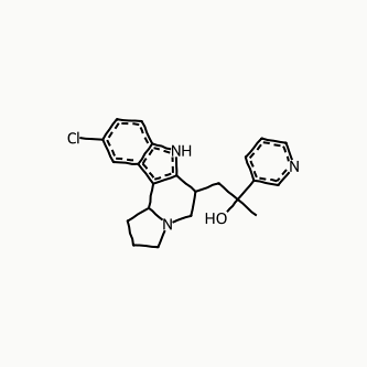 CC(O)(CC1CN2CCCC2c2c1[nH]c1ccc(Cl)cc21)c1cccnc1